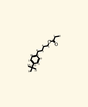 CCC(=O)OCCCCc1ccc(C(C)(C)C)cc1